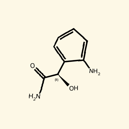 NC(=O)[C@H](O)c1ccccc1N